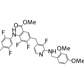 COC(=O)c1cc(Cc2ccnc(NCc3ccc(OC)cc3OC)c2F)c(F)c(F)c1Nc1cc(F)c(I)cc1F